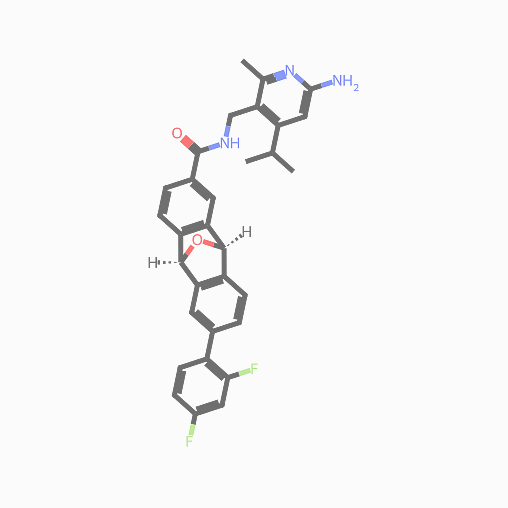 Cc1nc(N)cc(C(C)C)c1CNC(=O)c1ccc2c(c1)[C@@H]1O[C@H]2c2cc(-c3ccc(F)cc3F)ccc21